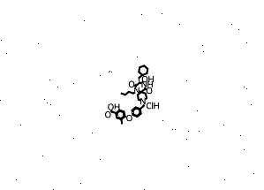 CCCCN1C(=O)[C@@H](CC2(O)CCCCC2)NC(=O)C12CCN(Cc1ccc(Oc3ccc(C(=O)O)cc3C)cc1)CC2.Cl